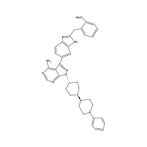 COc1ccccc1Cc1nc2ccc(-c3nn([C@H]4CC[C@H](N5CCN(c6ccccc6)CC5)CC4)c4ncnc(N)c34)cc2[nH]1